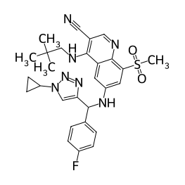 CC(C)(C)CNc1c(C#N)cnc2c(S(C)(=O)=O)cc(NC(c3ccc(F)cc3)c3cn(C4CC4)nn3)cc12